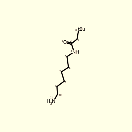 CC(C)(C)CC(=O)NCCCCCCN